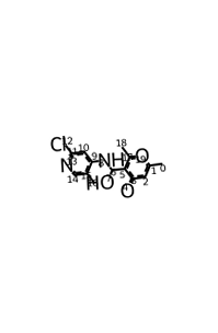 Cc1cc(=O)c(C(O)Nc2cc(Cl)ncc2C)c(C)o1